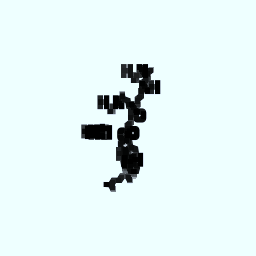 CC(C)CCCC(C)[C@H]1CC[C@H]2[C@@H]3CC=C4C[C@@H](OC(=O)CCCC(=O)N(CCCCNCCC(C)N)CCC(C)N)CC[C@]4(C)[C@H]3CC[C@]12C.Cl.Cl.Cl